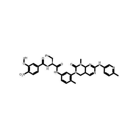 CCCOc1cc(C(=O)N[C@@H](CC(C)C)C(=O)Nc2ccc(C)c(N3CC4C=NC(Nc5ccc(C)nc5)=NC4N(C)C3=O)c2)ccc1[N+](=O)[O-]